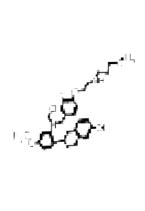 CCN(Cc1ccc(OCCNCCCOC)c(F)c1)c1cc(OC)ccc1C1CCc2cc(O)ccc2C1